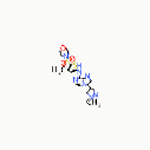 Cc1cc(NC2=NC=CN3C2=NCC3C2C=NN(C)C2)sc1S(=O)(=O)N1CCOCC1